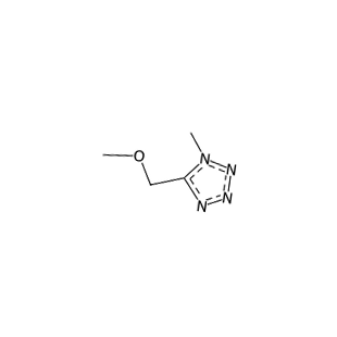 COCc1nnnn1C